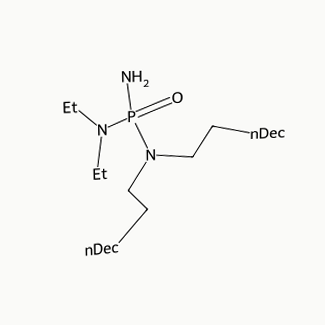 CCCCCCCCCCCCN(CCCCCCCCCCCC)P(N)(=O)N(CC)CC